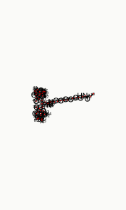 C#CCCC(=O)NCCOCCOCCOCCOCCOCCOCCn1cc(-c2cc(COc3cc4c(cc3OC)C(=O)N3C=C(C)C[C@H]3[C@H](O[Si](C)(C)C(C)(C)C)N4C(=O)OC(C)(C)C)cc(COc3cc4c(cc3OC)C(=O)N3C=C(C)C[C@H]3[C@H](O[Si](C)(C)C(C)(C)C)N4C(=O)OC(C)(C)C)c2)nn1